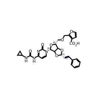 O=C(Nc1ccn([C@@H]2O[C@H](COCc3occc3C(=O)O)C3O[C@H](/C=C/c4ccccc4)OC32)c(=O)n1)NC1CC1